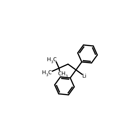 [Li][C](CC(C)(C)C)(c1ccccc1)c1ccccc1